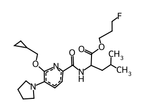 CC(C)CC(NC(=O)c1ccc(N2CCCC2)c(OCC2CC2)n1)C(=O)OCCCF